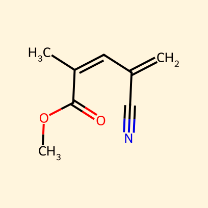 C=C(C#N)C=C(C)C(=O)OC